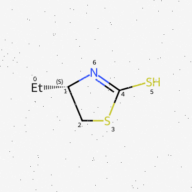 CC[C@H]1CSC(S)=N1